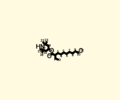 CCC(CCCCCCCC=O)C(=O)OC1CC(C)(C)NC(C)(C)C1